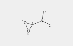 CN(C)C1OO1